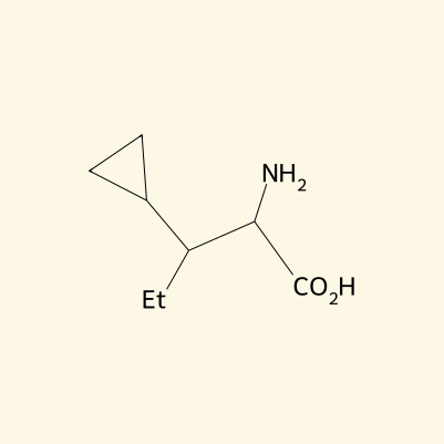 CCC(C1CC1)C(N)C(=O)O